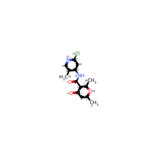 Cc1cc(=O)c(C(=O)Nc2cc(Cl)ncc2C)c(C)o1